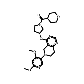 COc1cc(OC)c(N2CCc3ncnc(O[C@H]4CCN(C(=O)C5CCOCC5)C4)c3C2)cn1